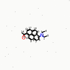 CCN(CC)c1ccc2ccc3c(C(C)=O)ccc4ccc1c2c43